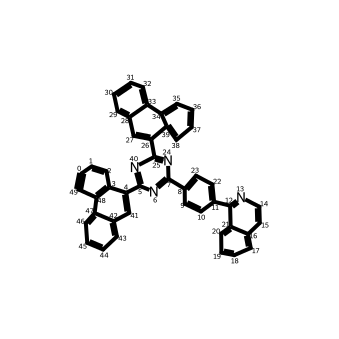 c1ccc2c(-c3nc(-c4ccc(-c5nccc6ccccc56)cc4)nc(-c4cc5ccccc5c5ccccc45)n3)cc3ccccc3c2c#1